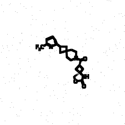 O=C1N[C@]2(CO1)C[C@H](C(=O)N1CCC3(CC1)CC(c1cccc(C(F)(F)F)n1)C3)C2